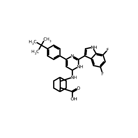 CC(C)(C)c1ccc(C2=CC(NC3C4CCC(CC4)C3C(=O)O)NC(c3c[nH]c4c(F)cc(F)cc34)=N2)cc1